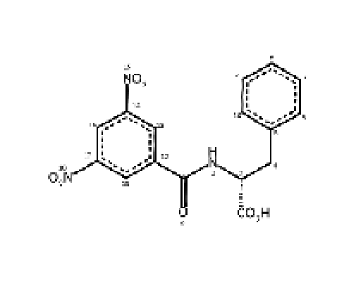 O=C(N[C@H](Cc1ccccc1)C(=O)O)c1cc([N+](=O)[O-])cc([N+](=O)[O-])c1